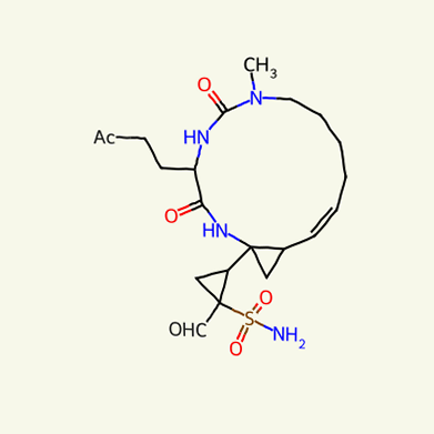 CC(=O)CCC1NC(=O)N(C)CCCCC=CC2CC2(C2CC2(C=O)S(N)(=O)=O)NC1=O